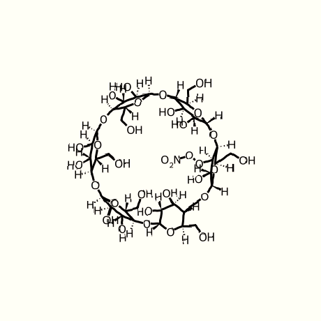 O=[N+]([O-])OO[C@@H]1[C@@H](O)[C@H]2O[C@H]3[C@H](O)[C@@H](O)[C@@H](O[C@H]4[C@H](O)[C@@H](O)[C@@H](O[C@H]5[C@H](O)[C@@H](O)[C@@H](O[C@H]6[C@H](O)[C@@H](O)[C@@H](O[C@H]7[C@H](O)[C@@H](O)[C@@H](O[C@H]1[C@@H](CO)O2)O[C@@H]7CO)O[C@@H]6CO)O[C@@H]5CO)O[C@@H]4CO)O[C@@H]3CO